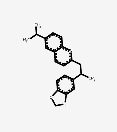 CC(C)c1ccc2nc(CC(C)c3ccc4c(c3)OCO4)ccc2c1